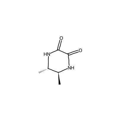 C[C@@H]1NC(=O)C(=O)N[C@H]1C